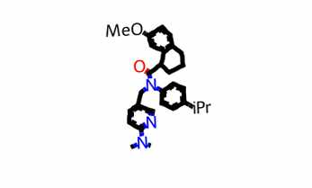 COc1ccc2c(c1)C(C(=O)N(Cc1ccc(N(C)C)nc1)c1ccc(C(C)C)cc1)CCC2